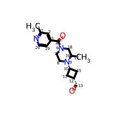 Cc1cc(C(=O)N2CCN([C@H]3C[C@@H](C=O)C3)C(C)C2)ccn1